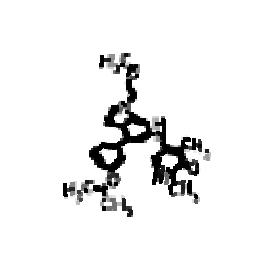 COCCn1ccc2c(-c3cccc(OC(C)C)c3)cc(Nc3cnn(C)c(=O)c3C)cc21